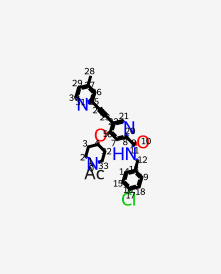 CC(=O)N1CCC(Oc2cc(C(=O)NCc3ccc(Cl)cc3)ncc2C#Cc2cc(C)ccn2)CC1